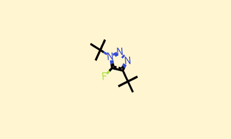 CC(C)(C)c1nnn(C(C)(C)C)c1F